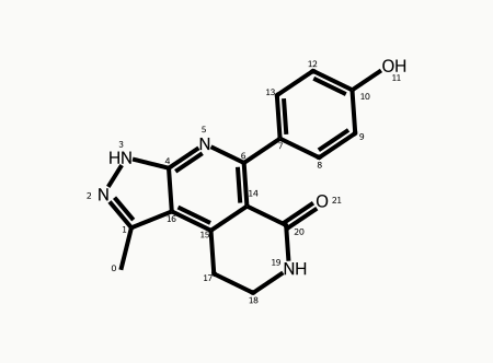 Cc1n[nH]c2nc(-c3ccc(O)cc3)c3c(c12)CCNC3=O